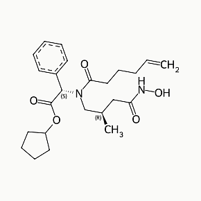 C=CCCCC(=O)N(C[C@H](C)CC(=O)NO)[C@H](C(=O)OC1CCCC1)c1ccccc1